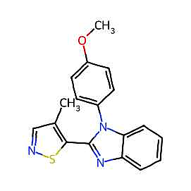 COc1ccc(-n2c(-c3sncc3C)nc3ccccc32)cc1